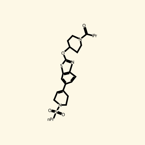 CCCS(=O)(=O)N1CC=C(c2ccc3nc(OC4CCN(C(=O)C(C)C)CC4)sc3c2)CC1